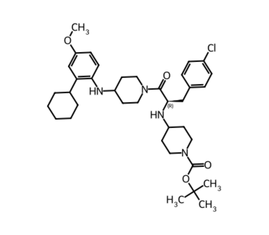 COc1ccc(NC2CCN(C(=O)[C@@H](Cc3ccc(Cl)cc3)NC3CCN(C(=O)OC(C)(C)C)CC3)CC2)c(C2CCCCC2)c1